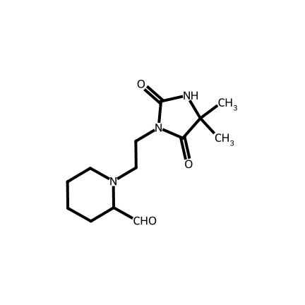 CC1(C)NC(=O)N(CCN2CCCCC2C=O)C1=O